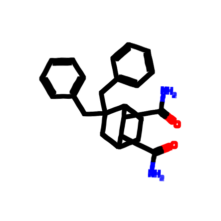 NC(=O)C1C2CCC(C1C(N)=O)C(Cc1ccccc1)(Cc1ccccc1)C2